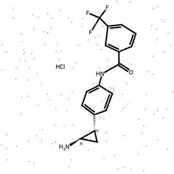 Cl.N[C@@H]1C[C@H]1c1ccc(NC(=O)c2cccc(C(F)(F)F)c2)cc1